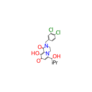 CC(C)C(O)c1cc(=O)c(O)c2n1CCN(Cc1ccc(Cl)c(Cl)c1)C2=O